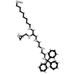 CCCCCCCCCCCCCCCCCCOCC(COCCOCCOC(c1ccccc1)(c1ccccc1)c1ccccc1)OCC1CO1